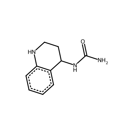 NC(=O)NC1CCNc2ccccc21